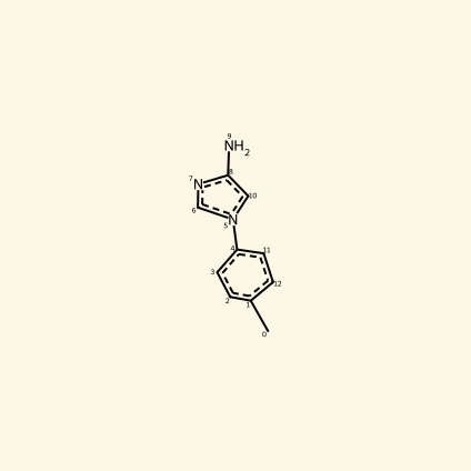 Cc1ccc(-n2cnc(N)c2)cc1